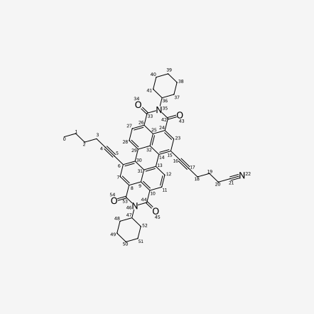 CCCCC#Cc1cc2c3c(ccc4c5c(C#CCCCC#N)cc6c7c(ccc(c1c34)c75)C(=O)N(C1CCCCC1)C6=O)C(=O)N(C1CCCCC1)C2=O